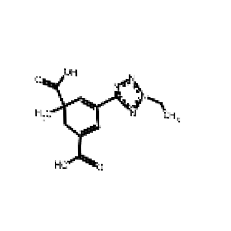 CCn1nnc(C2=CC(C)(C(=O)O)CC(C(=O)O)=C2)n1